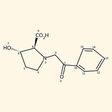 O=C(CN1CC[C@H](O)[C@H]1C(=O)O)c1ccccc1